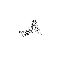 Cc1cc(NC(=O)C(=O)N2C[C@H](C)CC[C@@H]2[C@H]2CC[C@H](O)CC2)cnc1N